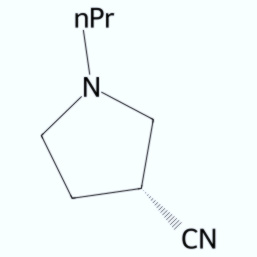 CCCN1CC[C@@H](C#N)C1